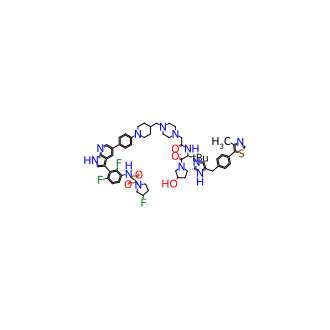 Cc1ncsc1-c1ccc(Cc2cnc([C@@H]3C[C@@H](O)CN3C(=O)[C@@H](NC(=O)CN3CCN(CC4CCN(c5ccc(-c6cnc7[nH]cc(-c8c(F)ccc(NS(=O)(=O)N9CC[C@@H](F)C9)c8F)c7c6)cc5)CC4)CC3)C(C)(C)C)[nH]2)cc1